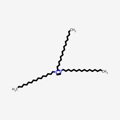 CCCCCCCCCCCCCCCCC1N(CCCCCCCCCCCCCCCC)C=CN1CCCCCCCCCCCCCCCC